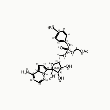 CC(=O)OCO[P@](=O)(OC[C@H]1O[C@@](C#N)(c2ccc3c(N)ncnn23)[C@H](O)[C@@H]1O)Oc1ccc(C(C)(C)C)cc1